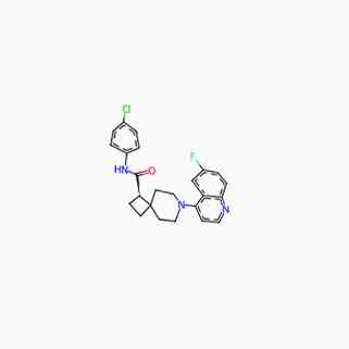 O=C(Nc1ccc(Cl)cc1)[C@@H]1CCC12CCN(c1ccnc3ccc(F)cc13)CC2